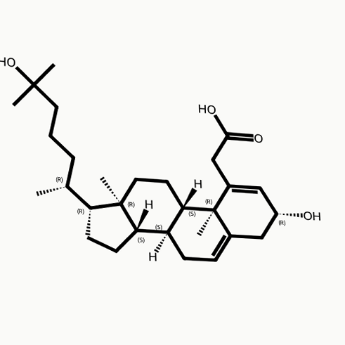 C[C@H](CCCC(C)(C)O)[C@H]1CC[C@H]2[C@@H]3CC=C4C[C@@H](O)C=C(CC(=O)O)[C@]4(C)[C@H]3CC[C@]12C